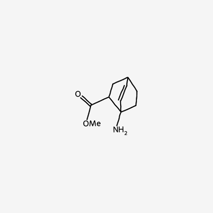 COC(=O)C1CC2C=CC1(N)CC2